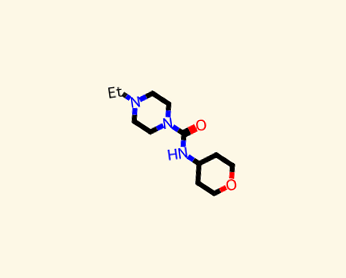 CCN1CCN(C(=O)NC2CCOCC2)CC1